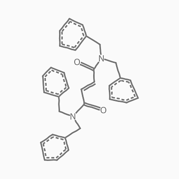 O=C(/C=C/C(=O)N(Cc1ccccc1)Cc1ccccc1)N(Cc1ccccc1)Cc1ccccc1